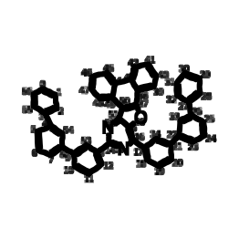 c1ccc(-c2cccc(-c3cccc(-c4nc(-c5cccc(-c6cccc(-c7ccccc7)c6)c5)c5oc6c7ccccc7c7ccccc7c6c5n4)c3)c2)cc1